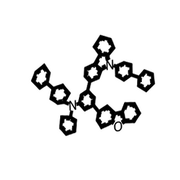 c1ccc(-c2ccc(N(c3ccccc3)c3cc(-c4ccc5oc6ccccc6c5c4)cc(-c4ccc5c6ccccc6n(-c6ccc(-c7ccccc7)cc6)c5c4)c3)cc2)cc1